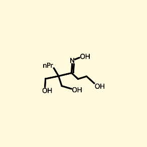 CCCC(CO)(CO)C(CCO)=NO